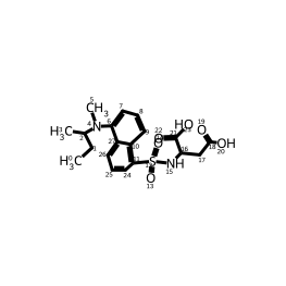 CCC(C)N(C)c1cccc2c(S(=O)(=O)NC(CC(=O)O)C(=O)O)cccc12